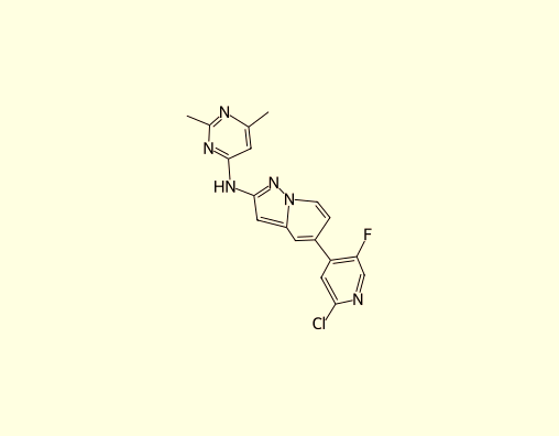 Cc1cc(Nc2cc3cc(-c4cc(Cl)ncc4F)ccn3n2)nc(C)n1